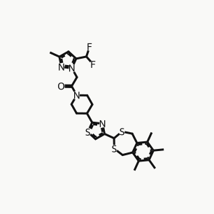 Cc1cc(C(F)F)n(CC(=O)N2CCC(c3nc(C4SCc5c(C)c(C)c(C)c(C)c5CS4)cs3)CC2)n1